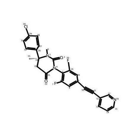 CN1C(=O)N(c2c(F)cc(C#Cc3cccnc3)cc2F)C(=O)C[C@@]1(C)c1ccc(Cl)cc1